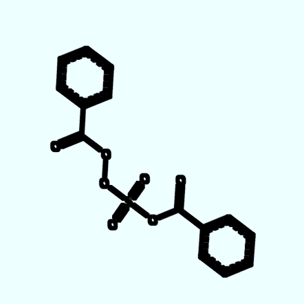 O=C(OOS(=O)(=O)OC(=O)c1ccccc1)c1ccccc1